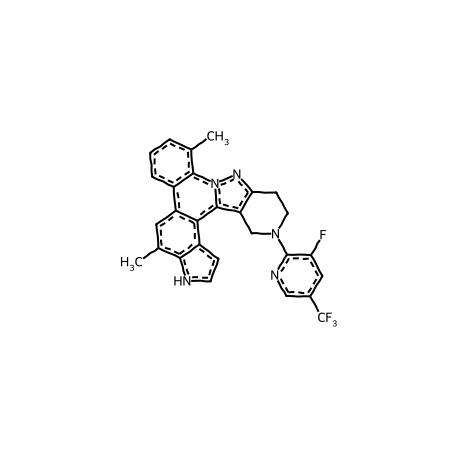 Cc1cc2c3cccc(C)c3n3nc4c(c3c2c2cc[nH]c12)CN(c1ncc(C(F)(F)F)cc1F)CC4